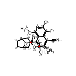 COc1nc(Cl)c(F)c2c(C#N)c(C)nc(N3CC4CCC(C3)N4C(=O)OC(C)(C)C)c12